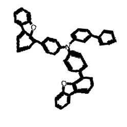 c1ccc(-c2cccc(N(c3ccc(-c4cccc5c4oc4ccccc45)cc3)c3ccc(-c4cccc5c4oc4ccccc45)cc3)c2)cc1